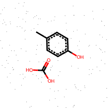 Cc1ccc(O)cc1.O=C(O)O